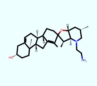 CC1=C2C[C@H]3[C@@H](CC=C4C[C@@H](O)CC[C@@]43C)[C@@H]2CCC12O[C@@H]1C[C@H](C)CN(CCN)[C@H]1[C@H]2C